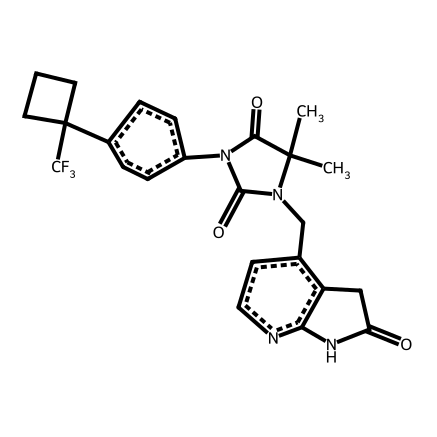 CC1(C)C(=O)N(c2ccc(C3(C(F)(F)F)CCC3)cc2)C(=O)N1Cc1ccnc2c1CC(=O)N2